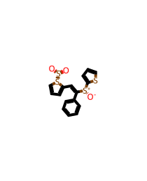 O=S(=O)=S1C=CC=C1/C=C(\c1ccccc1)[S+]([O-])c1cccs1